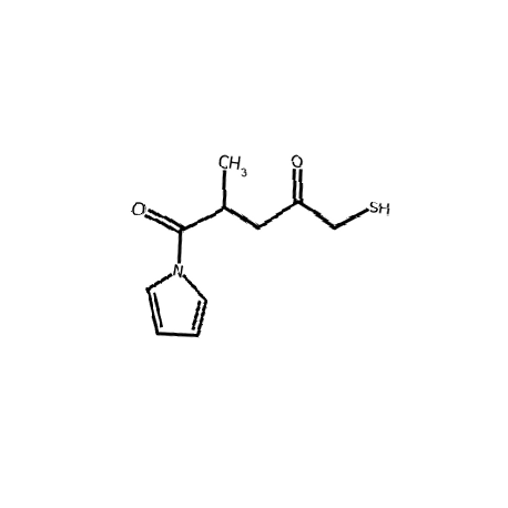 CC(CC(=O)CS)C(=O)n1cccc1